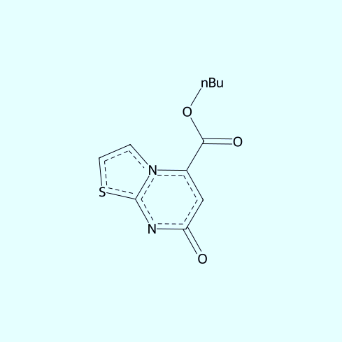 CCCCOC(=O)c1cc(=O)nc2sccn12